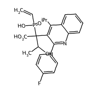 C=CP(=O)(O)C(C(=O)O)(c1c(-c2ccc(F)cc2)nc2ccccc2c1C(C)C)C(C)O